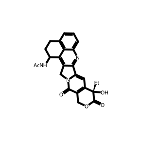 CC[C@@]1(O)C(=O)OCc2c1cc1n(c2=O)Cc2c-1nc1cccc3c1c2C(NC(C)=O)CC3